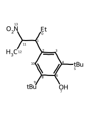 CCC(c1cc(C(C)(C)C)c(O)c(C(C)(C)C)c1)C(C)[N+](=O)[O-]